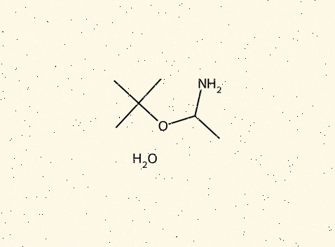 CC(N)OC(C)(C)C.O